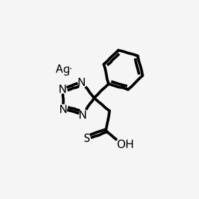 OC(=S)CC1(c2ccccc2)N=NN=N1.[Ag]